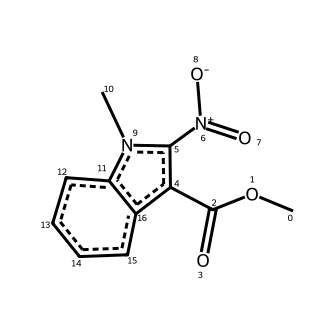 COC(=O)c1c([N+](=O)[O-])n(C)c2ccccc12